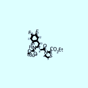 CCOC(=O)[C@H]1SCCN1C(=O)C[C@@H](Cc1cc(F)c(F)cc1F)NC(=O)OC(C)(C)C